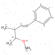 CC(C=Cc1ccccc1)C(C)O[SiH3]